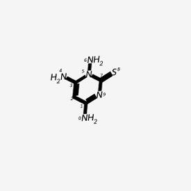 Nc1cc(N)n(N)c(=S)n1